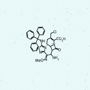 CO/N=C(\c1nsc(NC(c2ccccc2)(c2ccccc2)c2ccccc2)n1)C(N)C1C(=O)N2C(C(=O)O)=C(CCl)CSC12